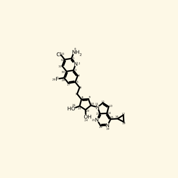 Nc1nc2cc(CCC3=CC(n4ccc5c(C6CC6)ncnc54)C(O)C3O)cc(F)c2cc1Cl